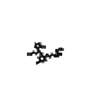 CCn1nccc1N(CCO)Cc1cc(F)ccc1OCCNC(=O)OC(C)(C)C